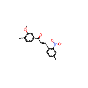 COc1cc(C(=O)/C=C/c2ccc(C)cc2[N+](=O)[O-])ccc1C